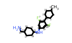 CC1CCC(c2c(F)cc(NC3CCC(CN)CC3)cc2F)CC1